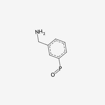 NCc1cccc(P=O)c1